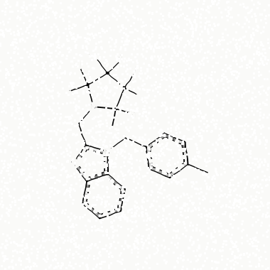 [2H]C1([2H])N(Cc2nc3ccccc3n2Cc2ccc(C)cc2)C([2H])([2H])C([2H])([2H])C1([2H])[2H]